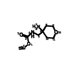 CC(C)(C)OC(=O)NCC1(N)CCOCC1